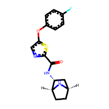 O=C(N[C@@H]1C[C@H]2CC[C@@H]1N2)c1ncc(Oc2ccc(F)cc2)s1